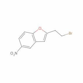 O=[N+]([O-])c1ccc2oc(CCBr)cc2c1